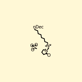 CCCCCCCCCCCCCCCCCC[N+](C)(C)CN1CCCC1=O.CS(=O)(=O)[O-]